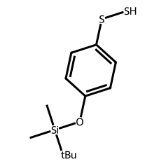 CC(C)(C)[Si](C)(C)Oc1ccc(SS)cc1